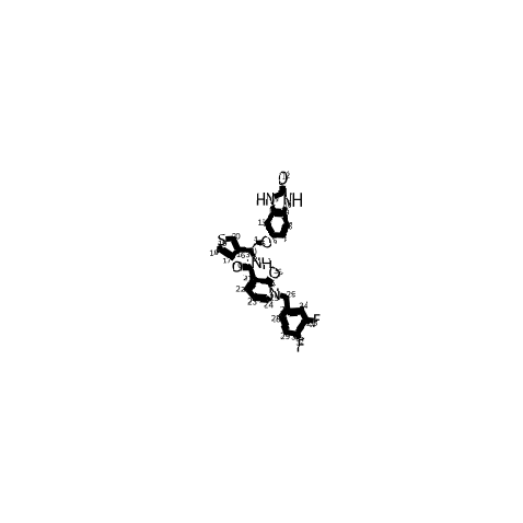 O=C(N[C@@H](COc1ccc2[nH]c(=O)[nH]c2c1)c1ccsc1)c1cccn(Cc2ccc(F)c(F)c2)c1=O